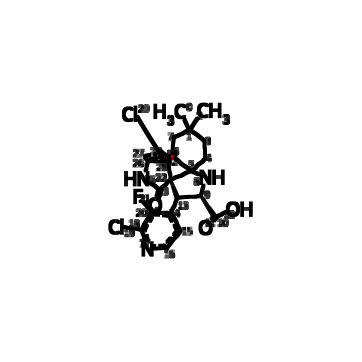 CC1(C)CCC2(CC1)N[C@@H](C(=O)O)C(c1ccnc(Cl)c1F)[C@]21C(=O)Nc2cc(Cl)ccc21